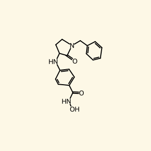 O=C(NO)c1ccc(NC2CCN(Cc3ccccc3)C2=O)cc1